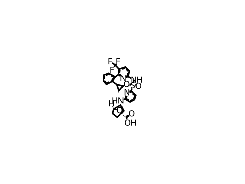 O=C(O)[C@]12CC[C@H](O1)[C@H](Nc1cccc(S(=O)(=O)Nc3ccc(C(F)(F)F)c(-c4ccccc4C4CC4)n3)n1)C2